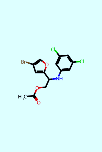 CC(=O)OCC(Nc1cc(Cl)cc(Cl)c1)c1cc(Br)co1